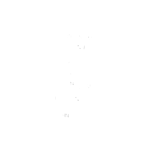 CS(=O)(=O)NCC12CC(N3C[C@@H]4CNCCN4C3=O)(C1)C2